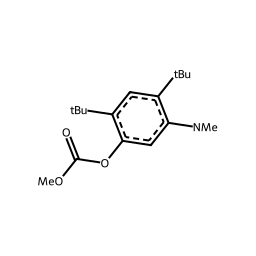 CNc1cc(OC(=O)OC)c(C(C)(C)C)cc1C(C)(C)C